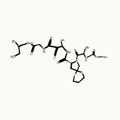 CCCC(NC(=O)[C@@H]1CC2(CN1C(=O)C(NC(=O)OC(C)(C)C)C(C)(C)C)SCCCS2)C(=O)C(=O)NCC(=O)NC(CO)C(C)C